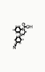 N#Cc1ccc(N2CCN(C(=O)O)c3ccccc32)cc1